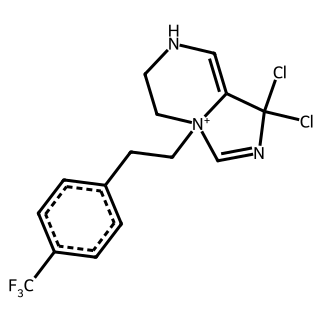 FC(F)(F)c1ccc(CC[N+]23C=NC(Cl)(Cl)C2=CNCC3)cc1